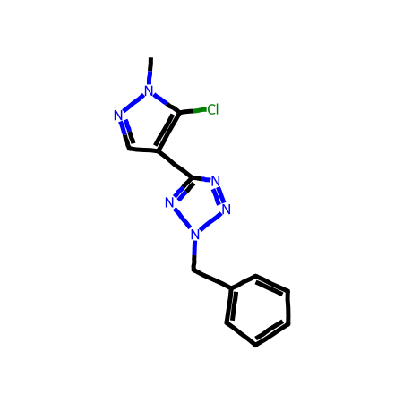 Cn1ncc(-c2nnn(Cc3ccccc3)n2)c1Cl